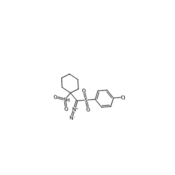 [N-]=[N+]=C(C1([SH](=O)=O)CCCCC1)S(=O)(=O)c1ccc(Cl)cc1